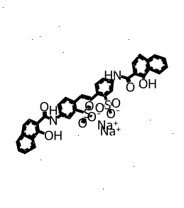 O=C(Nc1ccc(C=Cc2ccc(NC(=O)c3ccc4ccccc4c3O)cc2S(=O)(=O)[O-])c(S(=O)(=O)[O-])c1)c1ccc2ccccc2c1O.[Na+].[Na+]